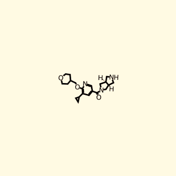 O=C(c1cnc(OCC2CCOCC2)c(C2CC2)c1)N1C[C@H]2CNC[C@@H]2C1